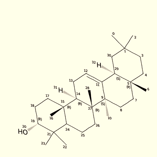 CC1(C)CC[C@]2(C)CC[C@]3(C)C(=CC[C@@H]4[C@@]5(C)CC[C@@H](O)C(C)(C)C5CC[C@]43C)[C@H]2C1